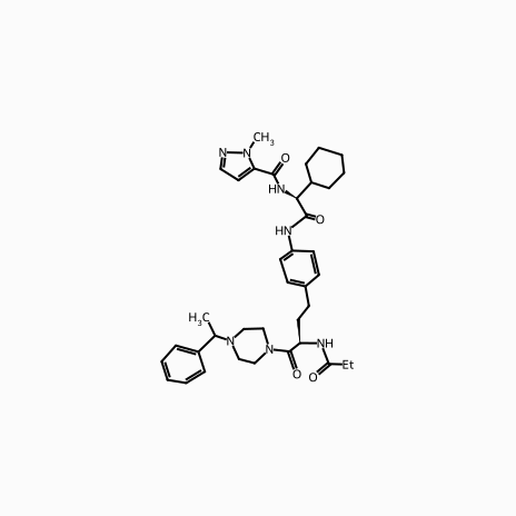 CCC(=O)N[C@H](CCc1ccc(NC(=O)[C@@H](NC(=O)c2ccnn2C)C2CCCCC2)cc1)C(=O)N1CCN(C(C)c2ccccc2)CC1